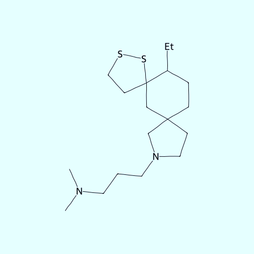 CCC1CCC2(CCN(CCCN(C)C)C2)CC12CCSS2